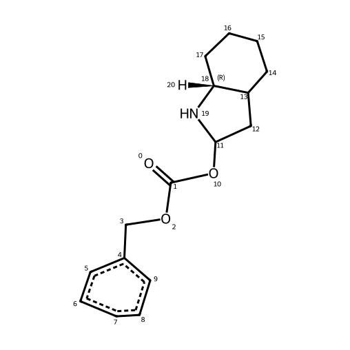 O=C(OCc1ccccc1)OC1CC2CCCC[C@H]2N1